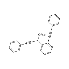 COC(C#Cc1ccccc1)c1cccnc1C#Cc1ccccc1